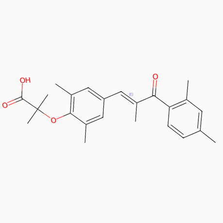 C/C(=C\c1cc(C)c(OC(C)(C)C(=O)O)c(C)c1)C(=O)c1ccc(C)cc1C